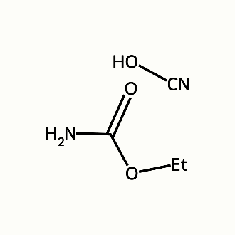 CCOC(N)=O.N#CO